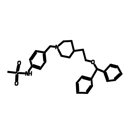 CS(=O)(=O)Nc1ccc(CN2CCC(CCOC(c3ccccc3)c3ccccc3)CC2)cc1